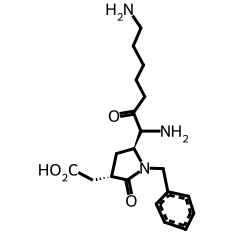 NCCCCCC(=O)C(N)[C@@H]1C[C@@H](CC(=O)O)C(=O)N1Cc1ccccc1